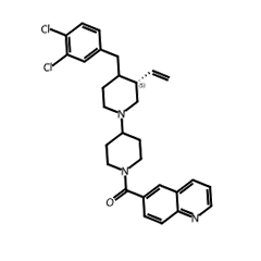 C=C[C@@H]1CN(C2CCN(C(=O)c3ccc4ncccc4c3)CC2)CCC1Cc1ccc(Cl)c(Cl)c1